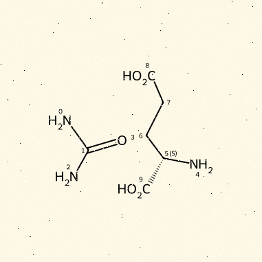 NC(N)=O.N[C@@H](CCC(=O)O)C(=O)O